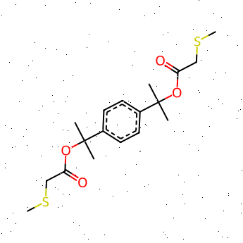 CSCC(=O)OC(C)(C)c1ccc(C(C)(C)OC(=O)CSC)cc1